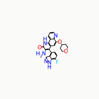 Nc1c(-c2ccc(F)c3[nH]ncc23)c2cc(OC3CCOCC3)c3ncccc3c2[nH]c1=O